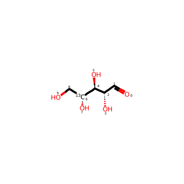 O=C[C@H](O)[C@H](O)[13C@H](O)CO